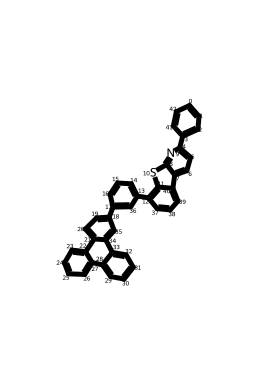 c1ccc(-c2ccc3c(n2)sc2c(-c4cccc(-c5ccc6c7ccccc7c7ccccc7c6c5)c4)cccc23)cc1